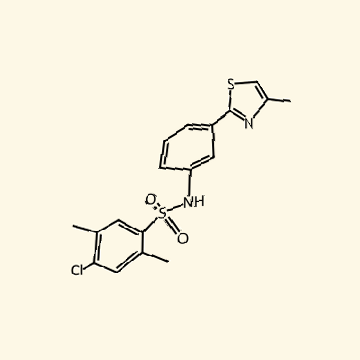 Cc1csc(-c2cccc(NS(=O)(=O)c3cc(C)c(Cl)cc3C)c2)n1